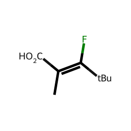 CC(C(=O)O)=C(F)C(C)(C)C